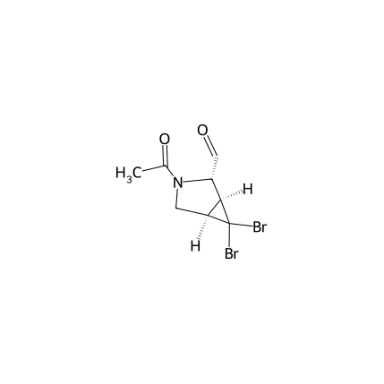 CC(=O)N1C[C@H]2[C@@H]([C@H]1C=O)C2(Br)Br